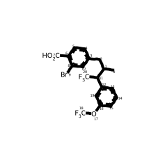 CC(Cc1ccc(C(=O)O)c(Br)c1)C(c1cccc(OC(F)(F)F)c1)C(F)(F)F